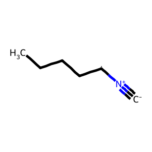 [C-]#[N+][CH]CCCC